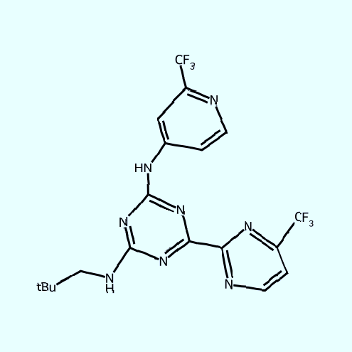 CC(C)(C)CNc1nc(Nc2ccnc(C(F)(F)F)c2)nc(-c2nccc(C(F)(F)F)n2)n1